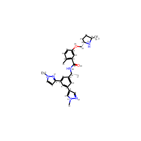 CCn1ccc(-c2cc(-c3cnn(C)c3)cc([C@@H](C)NC(=O)c3cc(OC[C@@H]4CC[C@@H](C(F)(F)F)N4)ccc3C)c2)n1